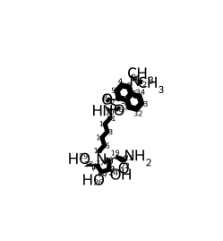 CN(C)c1ccc(S(=O)(=O)NCCCCCCN2[C@H](CC(N)=O)[C@H](O)[C@H](O)[C@H]2CO)c2ccccc12